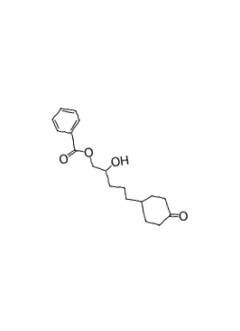 O=C1CCC(CCCC(O)COC(=O)c2ccccc2)CC1